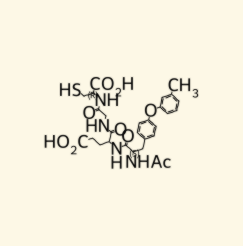 CC(=O)N[C@@H](Cc1ccc(Oc2cccc(C)c2)cc1)C(=O)NC(CCC(=O)O)C(=O)NCC(=O)N[C@@H](CS)C(=O)O